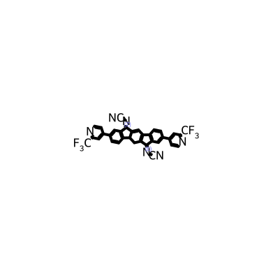 N#C/N=C1/C2=CC3=C(CC2c2ccc(-c4ccnc(C(F)(F)F)c4)cc21)/C(=N/C#N)c1cc(-c2ccnc(C(F)(F)F)c2)ccc13